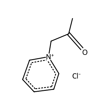 CC(=O)C[n+]1ccccc1.[Cl-]